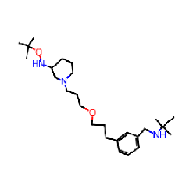 CC(C)(C)NCc1cccc(CCCOCCCN2CCCC(NOC(C)(C)C)C2)c1